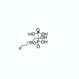 O=P(O)(O)C(O)(CCCCCF)P(=O)(O)O